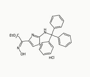 CCOC(=O)/C(=N/O)c1csc(NC(c2ccccc2)(c2ccccc2)c2ccccc2)n1.Cl